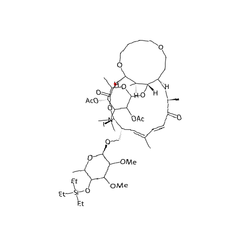 CC[Si](CC)(CC)OC1C(C)O[C@@H](OC[C@H]2/C=C(C)/C=C/C(=O)[C@H](C)C[C@@H]3CCOCCCCO[C@H](CC(=O)O[C@@H]2I)[C@H](C)[C@H]3OC2OC(C)[C@@H](OC(C)=O)C(N(C)C)C2OC(C)=O)C(OC)C1OC